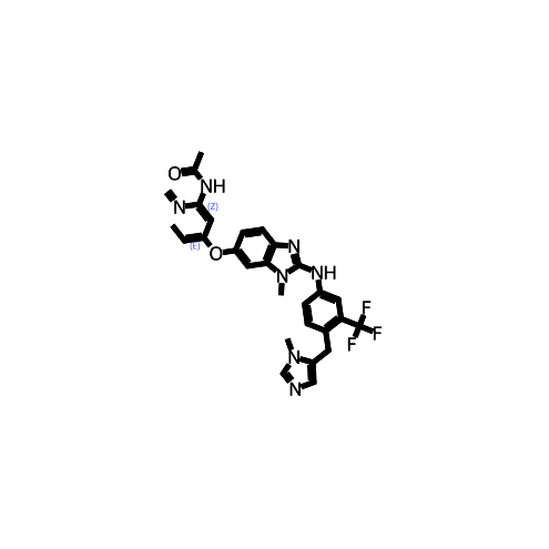 C=N/C(=C\C(=C/C)Oc1ccc2nc(Nc3ccc(Cc4cncn4C)c(C(F)(F)F)c3)n(C)c2c1)NC(C)=O